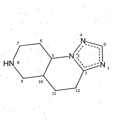 c1nc2n(n1)C1CCNCC1CC2